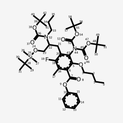 CCCCOc1c(C(=O)Oc2ccccc2)c(C)c(F)c(CC(CO[Si](C)(C)C(C)(C)C)N(CCC)C(=O)OC(C)(C)C)c1N(C(=O)OC(C)(C)C)C(=O)OC(C)(C)C